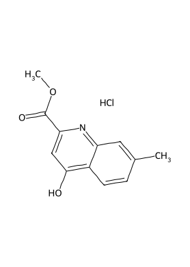 COC(=O)c1cc(O)c2ccc(C)cc2n1.Cl